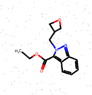 CCOC(=O)c1c2ccccc2nn1CC1COC1